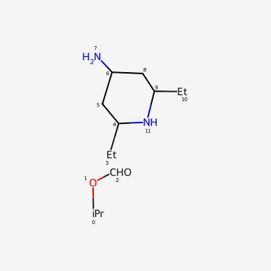 CC(C)OC=O.CCC1CC(N)CC(CC)N1